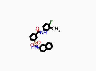 Cc1cc(NC(=O)c2cccc(S(=O)(=O)N[C@@H]3CCc4ccccc4C3)c2)ccc1F